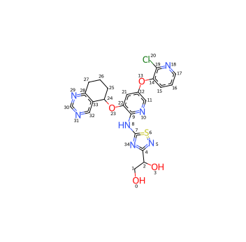 OCC(O)c1nsc(Nc2ncc(Oc3cccnc3Cl)cc2OC2CCCc3ncncc32)n1